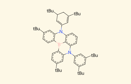 CC(C)(C)C1=CC(N2c3cc(C(C)(C)C)ccc3B3c4ccc(C(C)(C)C)cc4N(c4cc(C(C)(C)C)cc(C(C)(C)C)c4)c4cccc2c43)=CC(C(C)(C)C)C1